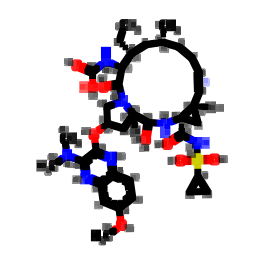 CC[C@@H]1C[C@H](C)CC/C=C\[C@@H]2C[C@@]2(C(=O)NS(=O)(=O)C2CC2)NC(=O)[C@@H]2C[C@@H](Oc3nc4ccc(OC)cc4nc3N(C)C)CN2C(=O)[C@H]1NC(=O)O